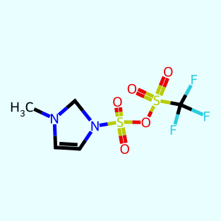 CN1C=CN(S(=O)(=O)OS(=O)(=O)C(F)(F)F)C1